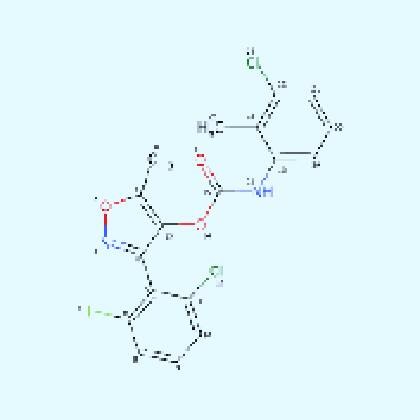 Cc1onc(-c2c(F)cccc2Cl)c1OC(=O)Nc1cccc(Cl)c1C